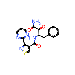 NC(=O)C(=O)C(Cc1ccccc1)NC(=O)c1csnc1-c1ncccn1